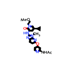 COCCn1cc(C2CC2)cc(Nc2nc3ccc(Oc4ccnc(NC(C)=O)c4)nc3n2C)c1=O